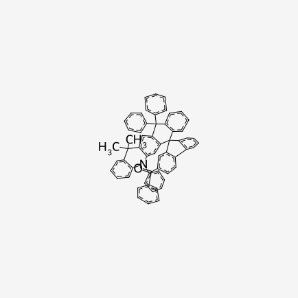 CC1(C)c2ccccc2N(c2ccccc2)c2cc3c(cc21)C(c1ccccc1)(c1ccccc1)c1ccccc1C31c2ccccc2-c2ccc(C(=O)c3ccccc3)cc21